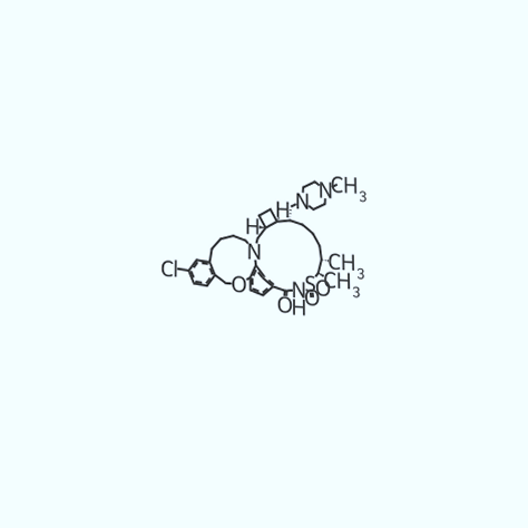 C[C@@H]1[C@@H](C)CCC[C@@H](CN2CCN(C)CC2)[C@@H]2CC[C@H]2CN2CCCCc3cc(Cl)ccc3COc3ccc(cc32)C(=O)NS1(=O)=O